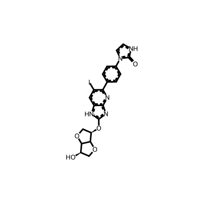 O=c1[nH]ccn1-c1ccc(-c2nc3nc(O[C@@H]4COC5C4OC[C@H]5O)[nH]c3cc2I)cc1